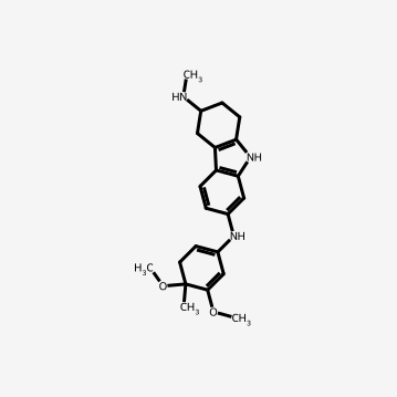 CNC1CCc2[nH]c3cc(NC4=CCC(C)(OC)C(OC)=C4)ccc3c2C1